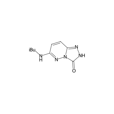 CCC(C)Nc1ccc2n[nH]c(=O)n2n1